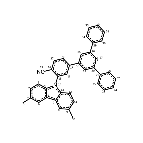 Cc1ccc2c(c1)c1cc(C)ccc1n2-c1cc(-c2cc(-c3ccccc3)nc(-c3ccccc3)c2)ccc1C#N